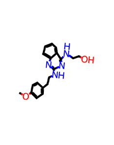 COc1ccc(CCNc2nc(NCCO)c3ccccc3n2)cc1